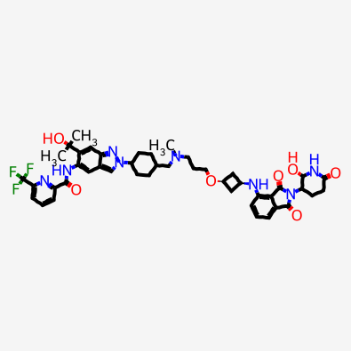 CN(CCCO[C@H]1C[C@H](Nc2cccc3c2C(=O)N(C2CCC(=O)NC2O)C3=O)C1)CC1CCC(n2cc3cc(NC(=O)c4cccc(C(F)(F)F)n4)c(C(C)(C)O)cc3n2)CC1